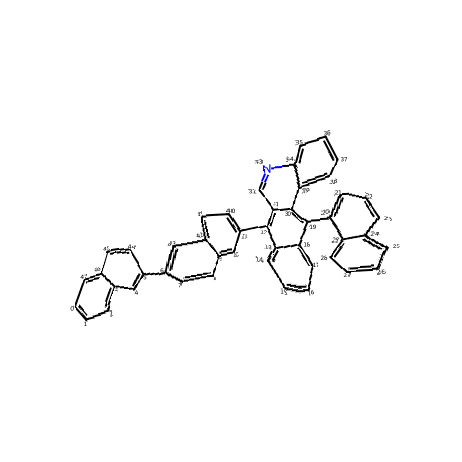 c1ccc2cc(-c3ccc4cc(-c5c6ccccc6c(-c6cccc7ccccc67)c6c5cnc5ccccc56)ccc4c3)ccc2c1